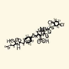 CSCCC(NC(=O)C[n+]1ccc(SCC2=C(C(=O)O)N3C(=O)[C@H](NC(=O)CSc4cc(Cl)ccc4Cl)[C@H]3SC2)cc1)C(=O)O